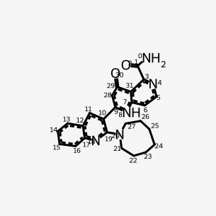 NC(=O)c1nccc2[nH]c(-c3cc4ccccc4nc3N3CCCCCCC3)cc(=O)c12